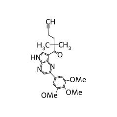 C#CCCC(C)(C)C(=O)c1c[nH]c2ncc(-c3cc(OC)c(OC)c(OC)c3)nc12